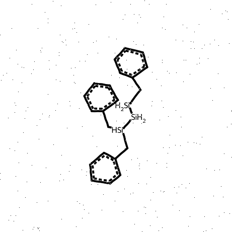 c1ccc(C[SiH2][SiH2][SiH](Cc2ccccc2)Cc2ccccc2)cc1